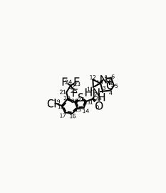 O=C(N[C@@H]1C2CCN(CC2)C12CC2)c1cc2ccc(Cl)c(CC(F)(F)F)c2s1